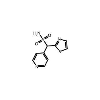 NS(=O)(=O)C(c1ccncc1)c1nccs1